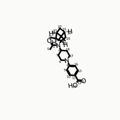 CC(=O)N(C1CCN(c2ccc(C(=O)O)cc2)CC1)[C@H]1C[C@@H]2C[C@@H]([C@H]1C)C2(C)C